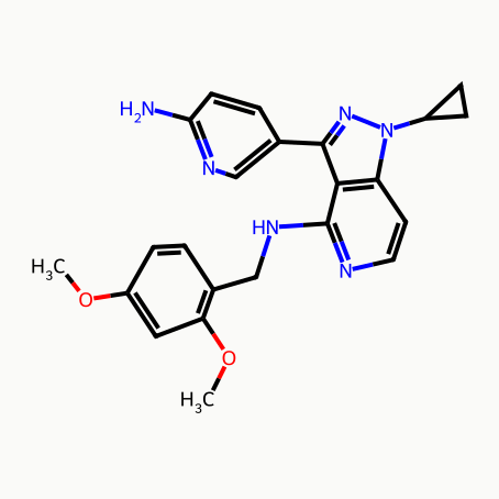 COc1ccc(CNc2nccc3c2c(-c2ccc(N)nc2)nn3C2CC2)c(OC)c1